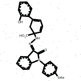 CSc1ccc(N2C(=O)/C(=N\NC3(C(=O)O)C=CC=C(c4ccccc4O)C3)c3ccccc32)cc1